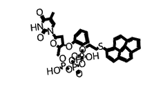 Cc1cn(C2C[C@@H](Oc3ccccc3)C(COP(O)OP(=O)(O)OP(=O)(O)OCCSc3ccc4ccc5cccc6ccc3c4c56)O2)c(=O)[nH]c1=O